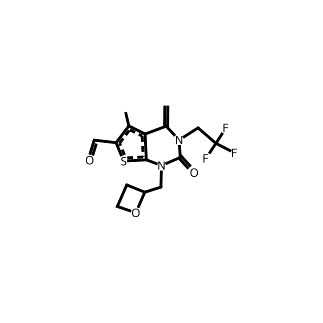 C=C1c2c(sc(C=O)c2C)N(CC2CCO2)C(=O)N1CC(F)(F)F